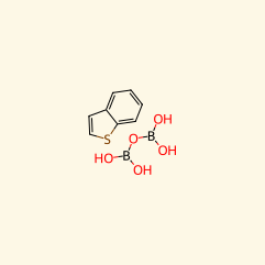 OB(O)OB(O)O.c1ccc2sccc2c1